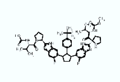 COC(=O)N[C@H](C(=O)[C@@]1(c2nc3cc(F)c(C4CCC(c5cc6[nH]c([C@@H]7CCCN7C(=O)[C@@H](NC(=O)O)C(C)C)nc6cc5F)C4c4ccc(C(C)(C)C)cc4)cc3[nH]2)CCCN1)C(C)C